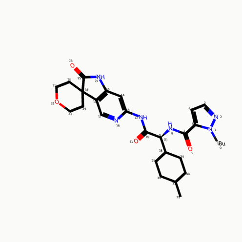 CCC(C)n1nccc1C(=O)N[C@H](C(=O)Nc1cc2c(cn1)C1(CCOCC1)C(=O)N2)C1CCC(C)CC1